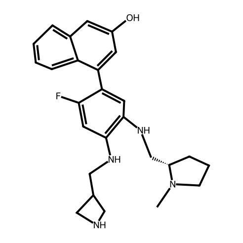 CN1CCC[C@H]1CNc1cc(-c2cc(O)cc3ccccc23)c(F)cc1NCC1CNC1